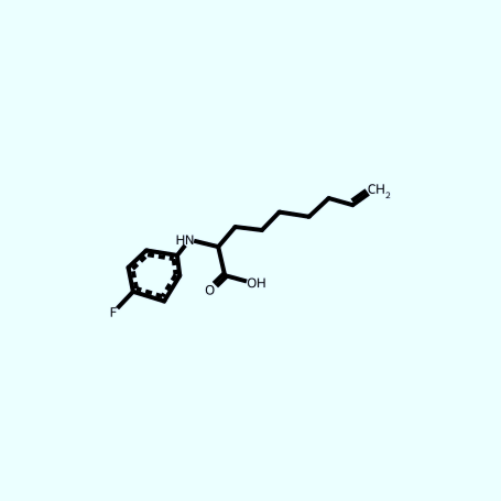 C=CCCCCCC(Nc1ccc(F)cc1)C(=O)O